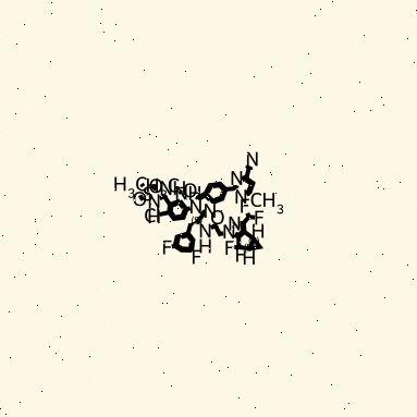 CNc1c(-n2c([C@H](Cc3cc(F)cc(F)c3)NC(=O)Cn3nc(C(F)F)c4c3C(F)(F)[C@@H]3C[C@H]43)nc3cc(-c4nc(C)cc(C#N)n4)ccc3c2=O)ccc(Cl)c1C(=N)NS(C)(=O)=O